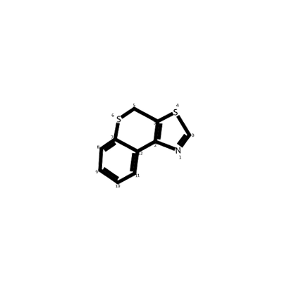 [c]1nc2c(s1)CSc1ccccc1-2